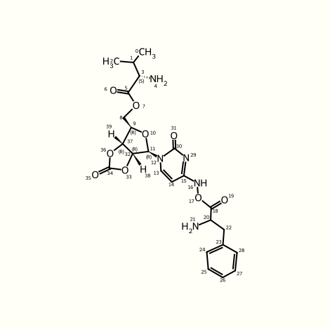 CC(C)[C@H](N)C(=O)OC[C@H]1O[C@@H](n2ccc(NOC(=O)C(N)Cc3ccccc3)nc2=O)[C@@H]2OC(=O)O[C@@H]21